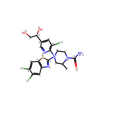 CC1C[N+](c2nc3cc(F)c(F)cc3s2)(c2ncc([C@H](O)CO)cc2F)CCN1C(N)=O